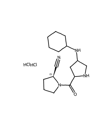 Cl.Cl.N#C[C@@H]1CCCN1C(=O)C1CC(NC2CCCCC2)CN1